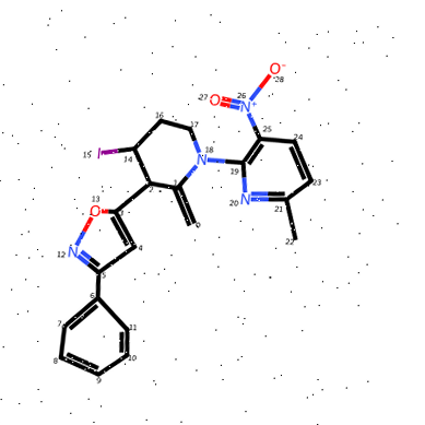 C=C1C(c2cc(-c3ccccc3)no2)C(I)CCN1c1nc(C)ccc1[N+](=O)[O-]